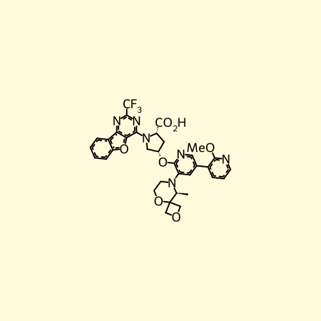 COc1ncccc1-c1cnc(O[C@H]2C[C@@H](C(=O)O)N(c3nc(C(F)(F)F)nc4c3oc3ccccc34)C2)c(N2CCOC3(COC3)[C@@H]2C)c1